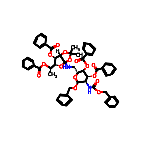 C[C@@H](OC(=O)c1ccccc1)[C@H]1O[C@@]2(NC[C@H]3O[C@H](OCc4ccccc4)[C@H](NC(=O)OCc4ccccc4)[C@@H](OC(=O)c4ccccc4)[C@@H]3OC(=O)c3ccccc3)OC(C)(C)O[C@@H]2[C@H]1OC(=O)c1ccccc1